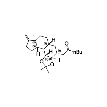 C=C1CC[C@H]2C3[C@H](CC[C@]12C)C[C@H](CC(=O)CCCC)[C@H]1OC(C)(C)O[C@H]31